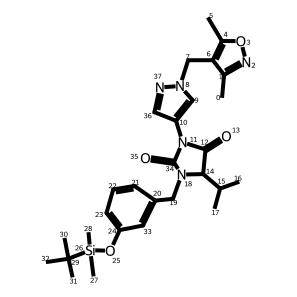 Cc1noc(C)c1Cn1cc(N2C(=O)C(C(C)C)N(Cc3cccc(O[Si](C)(C)C(C)(C)C)c3)C2=O)cn1